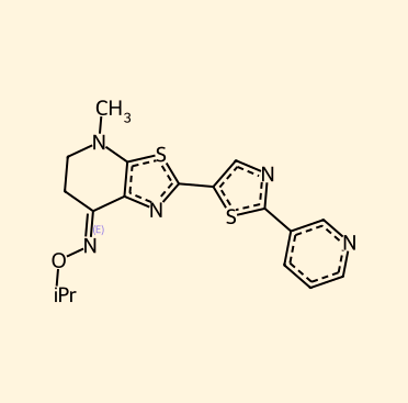 CC(C)O/N=C1\CCN(C)c2sc(-c3cnc(-c4cccnc4)s3)nc21